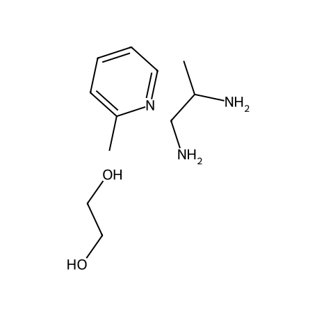 CC(N)CN.Cc1ccccn1.OCCO